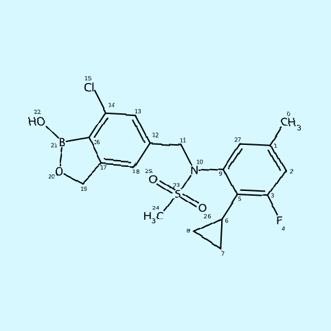 Cc1cc(F)c(C2CC2)c(N(Cc2cc(Cl)c3c(c2)COB3O)S(C)(=O)=O)c1